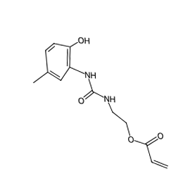 C=CC(=O)OCCNC(=O)Nc1cc(C)ccc1O